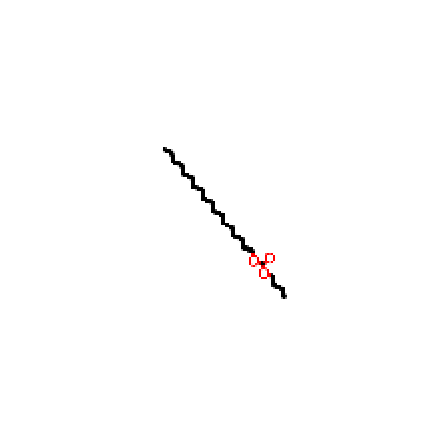 CCCCCCCCCCCCCCCCC=COC(=O)OCCCC